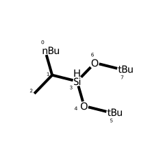 CCCCC(C)[SiH](OC(C)(C)C)OC(C)(C)C